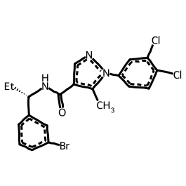 CC[C@H](NC(=O)c1cnn(-c2ccc(Cl)c(Cl)c2)c1C)c1cccc(Br)c1